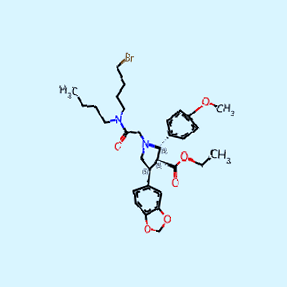 CCCCN(CCCCBr)C(=O)CN1C[C@H](c2ccc3c(c2)OCO3)[C@H](C(=O)OCC)[C@H]1c1ccc(OC)cc1